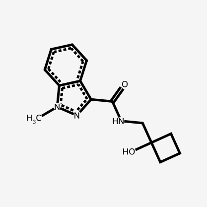 Cn1nc(C(=O)NCC2(O)CCC2)c2ccccc21